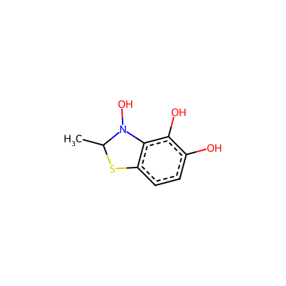 CC1Sc2ccc(O)c(O)c2N1O